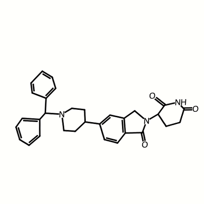 O=C1CCC(N2Cc3cc(C4CCN(C(c5ccccc5)c5ccccc5)CC4)ccc3C2=O)C(=O)N1